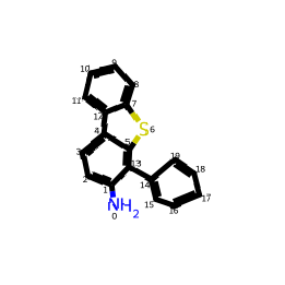 Nc1ccc2c(sc3ccccc32)c1-c1ccccc1